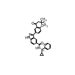 CC1(C)CC(=O)c2cc(-c3n[nH]c4ccc(C(=O)N[C@H](c5ccccn5)C5CC5)cc34)ccc2O1